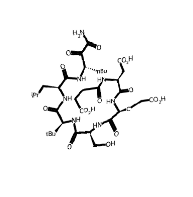 CCCC[C@H](NC(=O)[C@H](CC(C)C)NC(=O)[C@@H](NC(=O)[C@H](CO)NC(=O)[C@H](CCC(=O)O)NC(=O)[C@H](CC(=O)O)NC(=O)CCC(=O)O)C(C)(C)C)C(=O)C(N)=O